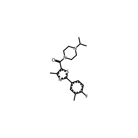 Cc1cc(-c2nc(C)c(C(=O)N3CCN(C(C)C)CC3)s2)ccc1F